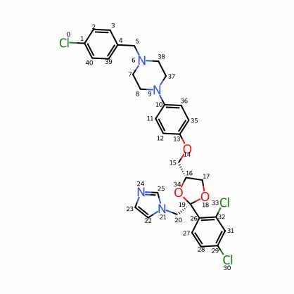 Clc1ccc(CN2CCN(c3ccc(OC[C@@H]4CO[C@@](Cn5ccnc5)(c5ccc(Cl)cc5Cl)O4)cc3)CC2)cc1